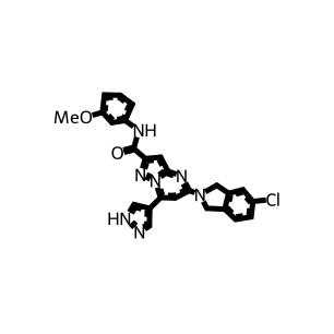 COc1cccc(NC(=O)c2cc3nc(N4Cc5ccc(Cl)cc5C4)cc(-c4cn[nH]c4)n3n2)c1